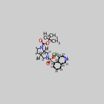 CC(C)(C)OC(=O)N1CC[C@H]2CN(S(=O)(=O)c3cccc4cncc(Cl)c34)C[C@H]21